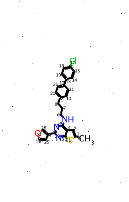 Cc1cc2c(NCCCc3ccc(-c4ccc(Cl)cc4)cc3)nc(-c3ccoc3)nc2s1